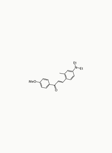 CCN(CC)c1ccc(C=CC(=O)c2ccc(OC)cc2)c(C)c1